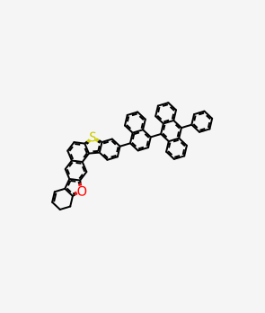 C1=Cc2c(oc3cc4c(ccc5sc6cc(-c7ccc(-c8c9ccccc9c(-c9ccccc9)c9ccccc89)c8ccccc78)ccc6c54)cc23)CC1